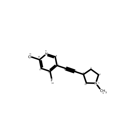 CN1CCC(C#Cc2cnc(Cl)cc2F)C1